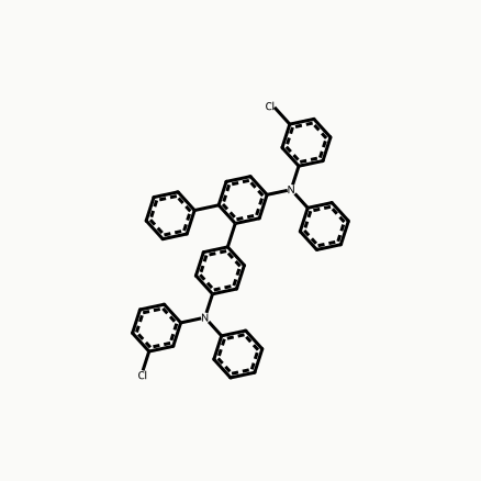 Clc1cccc(N(c2ccccc2)c2ccc(-c3cc(N(c4ccccc4)c4cccc(Cl)c4)ccc3-c3ccccc3)cc2)c1